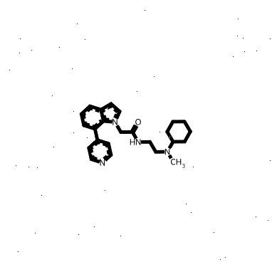 CN(CCNC(=O)Cn1ccc2cccc(-c3ccncc3)c21)C1CCCCC1